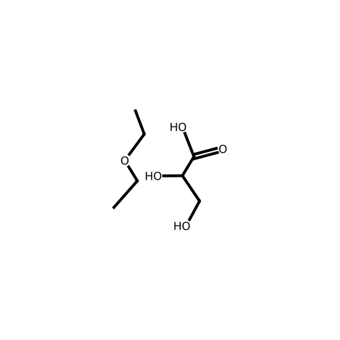 CCOCC.O=C(O)C(O)CO